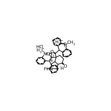 CN(C)c1ccccc1C(C(=O)C1(C(=O)C(c2ccccc2F)c2ccccc2N(C)C)CCC(=O)[C@H]2CNC[C@H]21)c1ccccc1F.Cl